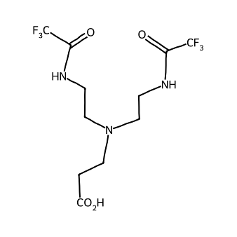 O=C(O)CCN(CCNC(=O)C(F)(F)F)CCNC(=O)C(F)(F)F